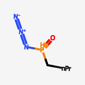 CCCC[PH](=O)N=[N+]=[N-]